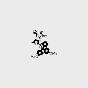 COc1ccc(C(OC[C@H]2O[C@@H](C)CC2OP(OCCC#N)N(C(C)C)C(C)C)(c2ccccc2)c2ccc(OC)cc2)cc1